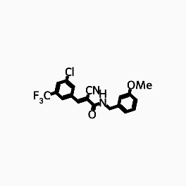 COc1cccc(CNC(=O)/C(C#N)=C/c2cc(Cl)cc(C(F)(F)F)c2)c1